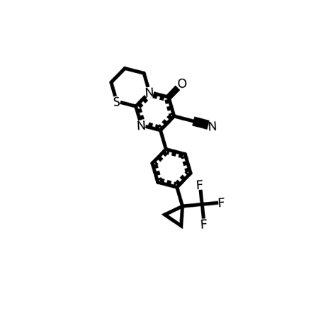 N#Cc1c(-c2ccc(C3(C(F)(F)F)CC3)cc2)nc2n(c1=O)CCCS2